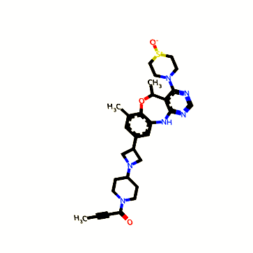 CC#CC(=O)N1CCC(N2CC(c3cc(C)c4c(c3)Nc3ncnc(N5CC[S+]([O-])CC5)c3C(C)O4)C2)CC1